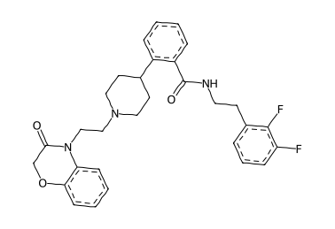 O=C(NCCc1cccc(F)c1F)c1ccccc1C1CCN(CCN2C(=O)COc3ccccc32)CC1